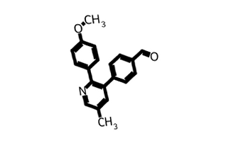 COc1ccc(-c2ncc(C)cc2-c2ccc(C=O)cc2)cc1